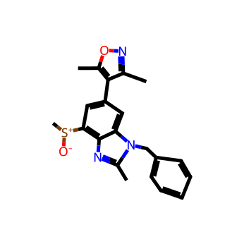 Cc1noc(C)c1-c1cc([S+](C)[O-])c2nc(C)n(Cc3ccccc3)c2c1